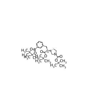 CC(C)(C)OC(=O)[C@@H](Cc1cccc(B2OC(C)(C)C(C)(C)O2)c1)[C@@H]1CCN(C(=O)OC(C)(C)C)C1